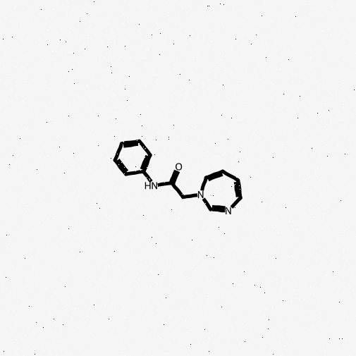 O=C(CN1C=CC=CN=C1)Nc1ccccc1